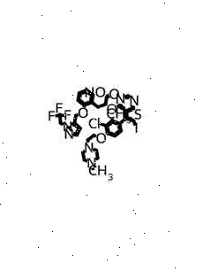 Cc1c(-c2c(I)sc3ncnc(OC(Cc4ccccc4OCc4ccnn4CC(F)(F)F)C(=O)O)c23)ccc(OCCN2CCN(C)CC2)c1Cl